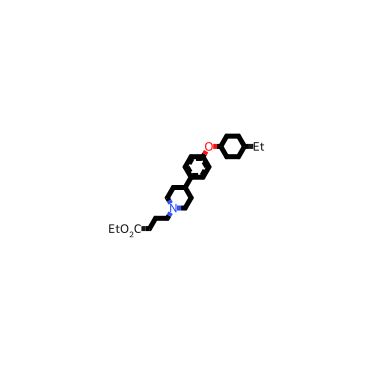 CCOC(=O)CCCN1CCC(c2ccc(OC3CCC(CC)CC3)cc2)CC1